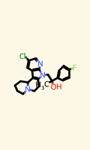 CC(O)(Cn1c2c(c3cc(Cl)cnc31)C1CCCCN1CC2)c1ccc(F)cc1